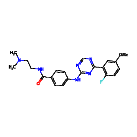 COc1ccc(F)c(-c2ncnc(Nc3ccc(C(=O)NCCN(C)C)cc3)n2)c1